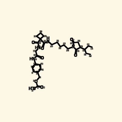 BC(=O)OCc1ccc(NC(=O)CNC(=O)C2(C(=O)NCCCCCN3C(=O)CC(C(CC)CC)C3=O)CCC2)cc1